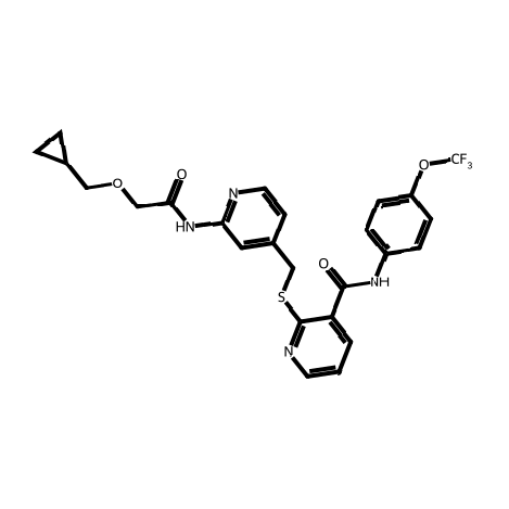 O=C(COCC1CC1)Nc1cc(CSc2ncccc2C(=O)Nc2ccc(OC(F)(F)F)cc2)ccn1